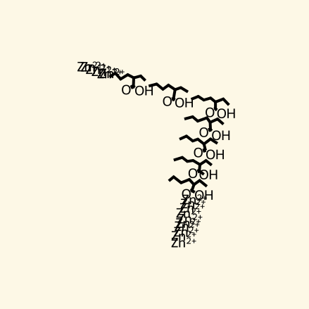 CCCCC(CC)C(=O)O.CCCCC(CC)C(=O)O.CCCCC(CC)C(=O)O.CCCCC(CC)C(=O)O.CCCCC(CC)C(=O)O.CCCCC(CC)C(=O)O.CCCCC(CC)C(=O)O.[Zn+2].[Zn+2].[Zn+2].[Zn+2].[Zn+2].[Zn+2].[Zn+2].[Zn+2].[Zn+2].[Zn+2].[Zn+2].[Zn+2].[Zn+2].[Zn+2].[Zn+2].[Zn+2]